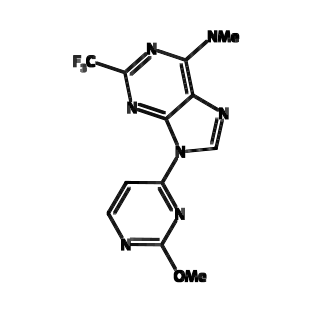 CNc1nc(C(F)(F)F)nc2c1ncn2-c1ccnc(OC)n1